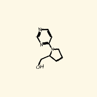 OCC1CCCN1c1ccn[c]n1